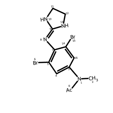 CC(=O)N(C)c1cc(Br)c(N=C2NCCN2)c(Br)c1